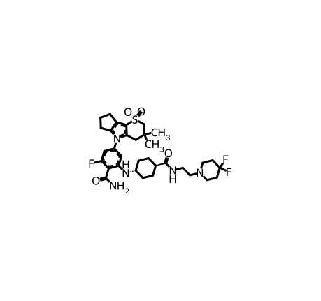 CC1(C)Cc2c(c3c(n2-c2cc(F)c(C(N)=O)c(N[C@H]4CC[C@H](C(=O)NCCN5CCC(F)(F)CC5)CC4)c2)CCC3)S(=O)(=O)C1